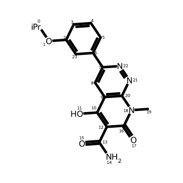 CC(C)Oc1cccc(-c2cc3c(O)c(C(N)=O)c(=O)n(C)c3nn2)c1